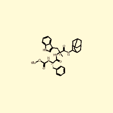 CC(C)(C)OC(=O)N[C@@H](Cc1ccccc1)C(=O)N[C@](C)(Cc1c[nH]c2ccccc12)C(=O)NC1C2CC3CC(C2)CC1C3